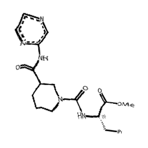 COC(=O)[C@H](CC(C)C)NC(=O)N1CCCC(C(=O)Nc2cnccn2)C1